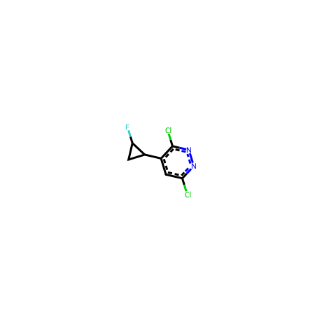 FC1CC1c1cc(Cl)nnc1Cl